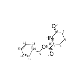 O=C1CCC[C@@H](C(=O)OCc2ccccc2)N1